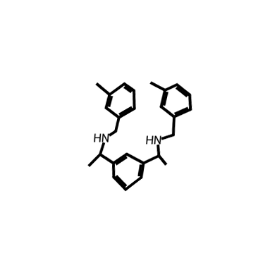 Cc1cccc(CNC(C)c2cccc(C(C)NCc3cccc(C)c3)c2)c1